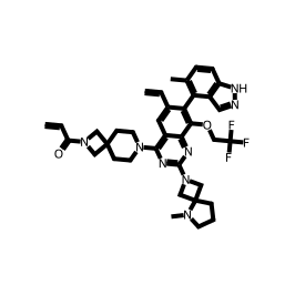 C=CC(=O)N1CC2(CCN(c3nc(N4CC5(CCCN5C)C4)nc4c(OCC(F)(F)F)c(-c5c(C)ccc6[nH]ncc56)c(C=C)cc34)CC2)C1